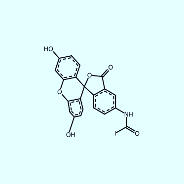 O=C(I)Nc1ccc2c(c1)C(=O)OC21c2ccc(O)cc2Oc2cc(O)ccc21